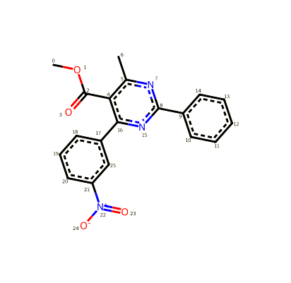 COC(=O)c1c(C)nc(-c2ccccc2)nc1-c1cccc([N+](=O)[O-])c1